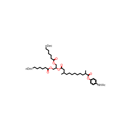 CCCCCCCCCCCCCCCC(=O)OCC(COC(=O)CCCCCCCCCCCCCCC)OC(=O)CC(C)CCCCCCCC(C)C(=O)Oc1ccc(NC(C)=O)cc1